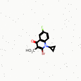 O=C(O)c1c(Br)n(C2CC2)c2ccc(F)cc2c1=O